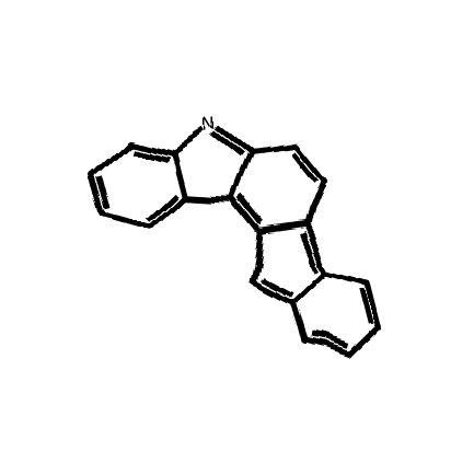 C1=c2ccccc2=c2ccc3c(c21)-c1ccccc1N=3